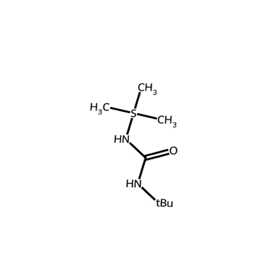 CC(C)(C)NC(=O)NS(C)(C)C